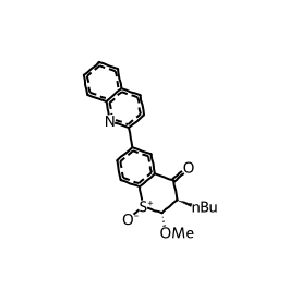 CCCC[C@@H]1C(=O)c2cc(-c3ccc4ccccc4n3)ccc2[S+]([O-])[C@H]1OC